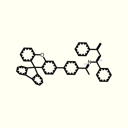 C=C(/C=C(\N=C(/C)c1ccc(-c2ccc3c(c2)Oc2ccccc2C32c3ccccc3-c3ccccc32)cc1)c1ccccc1)c1ccccc1